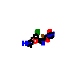 Cc1cc(Cl)cc(-c2ccnc3cc(Cn4c(=O)ccn(C)c4=O)sc23)c1OC1CCNC(C)(C)C1